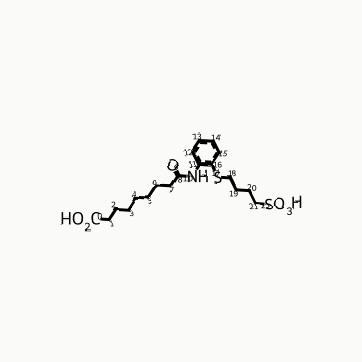 O=C(O)CCCCCCCC(=O)Nc1ccccc1SCCCCS(=O)(=O)O